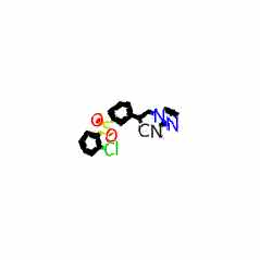 N#CC(Cn1ccnc1)c1cccc(S(=O)(=O)c2ccccc2Cl)c1